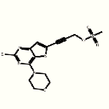 CS(=O)(=O)OCC#Cc1cc2nc(Cl)nc(N3CCOCC3)c2s1